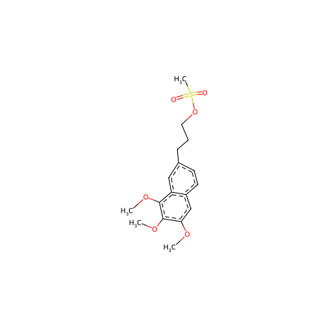 COc1cc2ccc(CCCOS(C)(=O)=O)cc2c(OC)c1OC